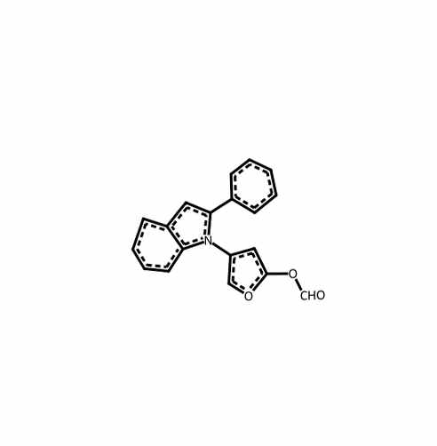 O=COc1cc(-n2c(-c3ccccc3)cc3ccccc32)co1